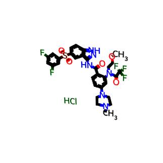 COCCN(C(=O)C(F)(F)F)c1cc(N2CCN(C)CC2)ccc1C(=O)Nc1n[nH]c2ccc(S(=O)(=O)c3cc(F)cc(F)c3)cc12.Cl